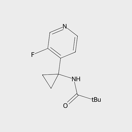 CC(C)(C)C(=O)NC1(c2ccncc2F)CC1